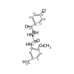 COc1ccc(C)cc1NC(=O)NNC(=O)c1ccc(Cl)cc1